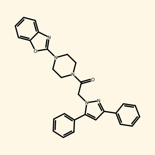 O=C(Cn1nc(-c2ccccc2)cc1-c1ccccc1)N1CCN(c2nc3ccccc3o2)CC1